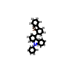 c1ccc(-n2c3ccccc3c3c(-c4cccc5c4sc4ccccc45)cccc32)cc1